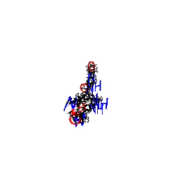 COc1cc2c3c([nH]c2cc1-c1c(C)noc1C)NC(C)N=C3c1cc(C(=O)NC2CCN(C3CCOCC3)CC2)cc(C(C)(C)C#N)c1